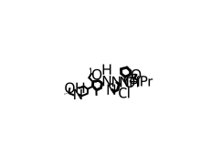 Cc1cc(Nc2ncc(Cl)c(Nc3ccccc3S(=O)(=O)C(C)C)n2)c2c(c1C1CCN(C[C@H](C)O)CC1)C[C@@H](C)O2